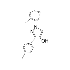 Cc1ccc(-c2nn(-c3ccccc3C)cc2O)cc1